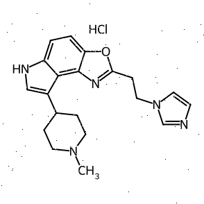 CN1CCC(c2c[nH]c3ccc4oc(CCn5ccnc5)nc4c23)CC1.Cl